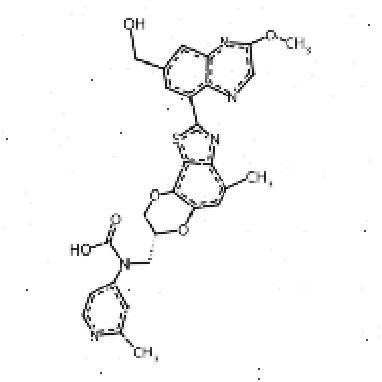 COc1cnc2c(-c3nc4c(C)cc5c(c4s3)OC[C@@H](CN(C(=O)O)c3ccnc(C)c3)O5)cc(CO)cc2n1